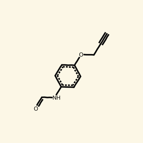 C#CCOc1ccc(NC=O)cc1